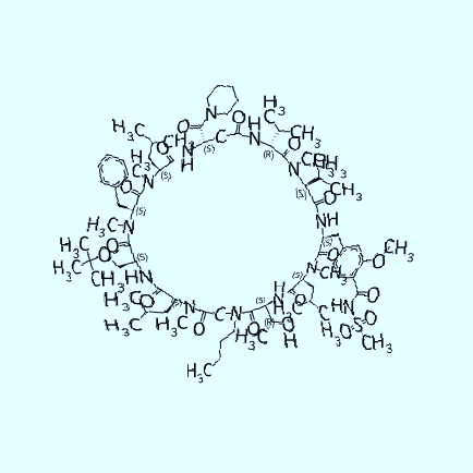 CCCCN1CC(=O)N(C)[C@@H](CC(C)C)C(=O)N[C@@H](COC(C)(C)C)C(=O)N(C)[C@@H](Cc2ccccc2)C(=O)N(C)[C@@H](CC(C)C)C(=O)N[C@H](C(=O)N2CCCCC2)CC(=O)N[C@H](C(C)C)C(=O)N(C)[C@@H](C(C)C)C(=O)N[C@@H](Cc2ccc(C(=O)NS(C)(=O)=O)c(OC)c2)C(=O)N(C)[C@@H](CC(C)C)C(=O)N[C@@H]([C@@H](C)O)C1=O